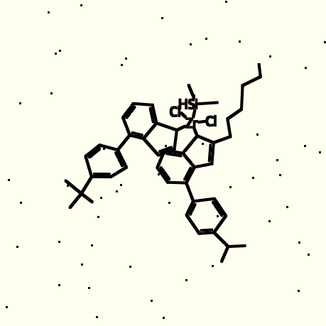 CCCCCCC1=Cc2c(-c3ccc(C(C)C)cc3)cccc2[CH]1[Zr]([Cl])([Cl])([CH]1C=Cc2c(-c3ccc(C(C)(C)C)cc3)cccc21)[SiH](C)C